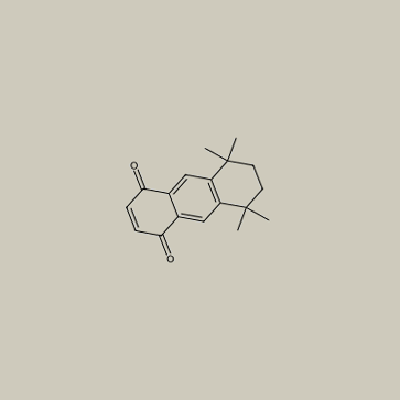 CC1(C)CCC(C)(C)c2cc3c(cc21)C(=O)C=CC3=O